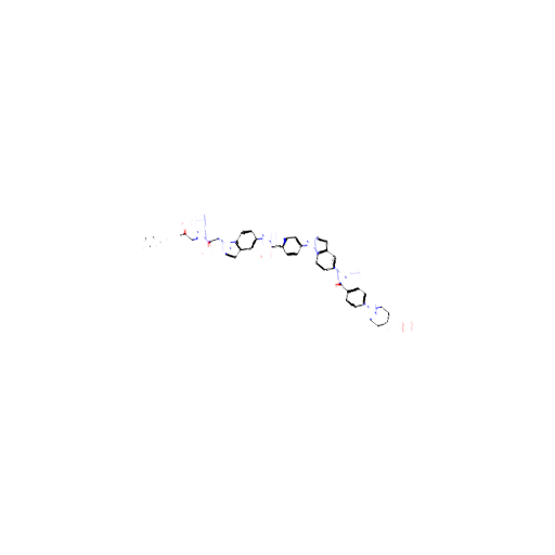 COC(=O)CNC(=O)Cn1ccc2cc(NC(=O)c3ccc(-n4ccc5cc(NC(=O)c6ccc(N7CCC(O)CC7)cc6)ccc54)cc3)ccc21